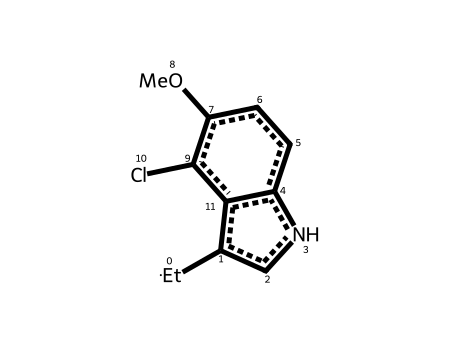 C[CH]c1c[nH]c2ccc(OC)c(Cl)c12